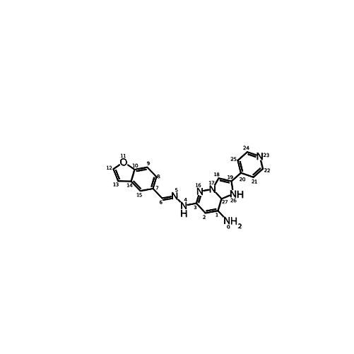 NC1=CC(N/N=C/c2ccc3occc3c2)=NN2C=C(c3ccncc3)NC12